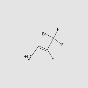 [CH2]C=C(F)C(F)(F)Br